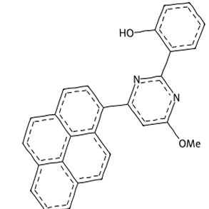 COc1cc(-c2ccc3ccc4cccc5ccc2c3c45)nc(-c2ccccc2O)n1